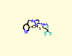 Cc1cnccc1Cn1ccc(NCC(F)(F)F)n1